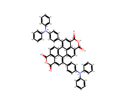 O=C1OC(=O)c2cc(-c3ccc(N(c4ccccc4)c4ccccc4)cc3)c3c4ccc5c6c(cc(-c7ccc(N(c8ccccc8)c8ccccc8)cc7)c(c7ccc1c2c73)c64)C(=O)OC5=O